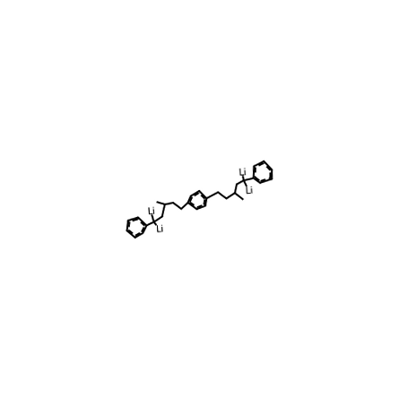 [Li][C]([Li])(CC(C)CCc1ccc(CCC(C)C[C]([Li])([Li])c2ccccc2)cc1)c1ccccc1